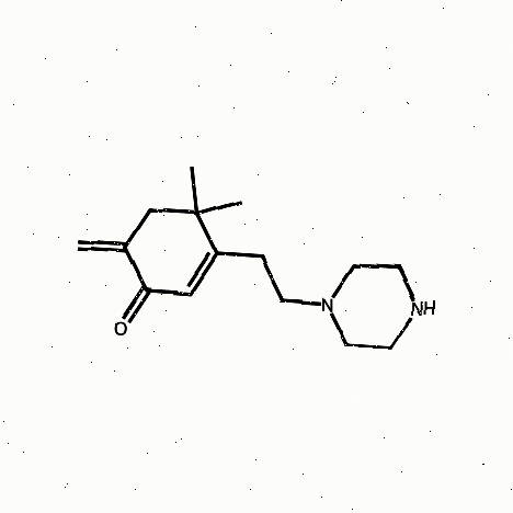 C=C1CC(C)(C)C(CCN2CCNCC2)=CC1=O